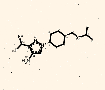 CC(C)OC[C@H]1CC[C@H](n2cc(N)c(C(F)F)n2)CC1